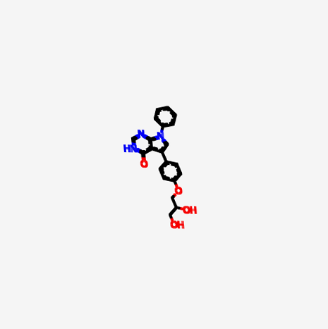 O=c1[nH]cnc2c1c(-c1ccc(OCC(O)CO)cc1)cn2-c1ccccc1